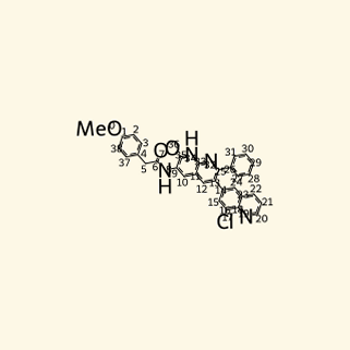 COc1ccc(CC(=O)Nc2cc3cc(-c4cc(Cl)c5ncccc5c4)c(-c4ccccc4)nc3[nH]c2=O)cc1